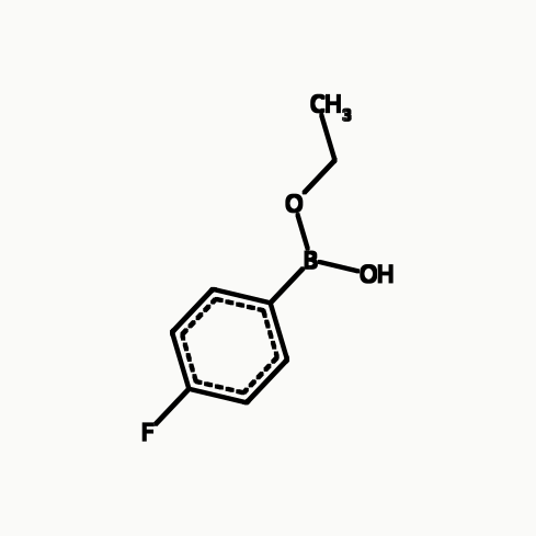 CCOB(O)c1ccc(F)cc1